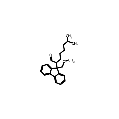 COCC1(C(C=O)CCCCC(C)C)c2ccccc2-c2ccccc21